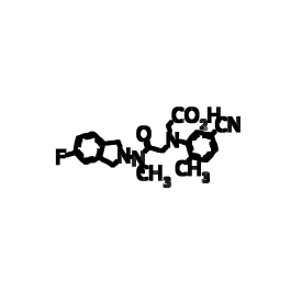 Cc1ccc(C#N)cc1N(CC(=O)O)CC(=O)N(C)N1Cc2ccc(F)cc2C1